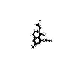 COc1cc(Br)cc2c1C(=O)N(CC(F)F)CC2